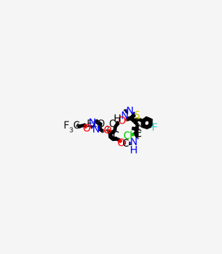 CCOC(=O)[C@H]1Cc2cc(ccc2OCc2ccnc(OCCC(F)(F)F)n2)OCCNc2ccc(c(C)c2Cl)-c2c(-c3ccc(F)cc3)sc3ncnc(c23)O1